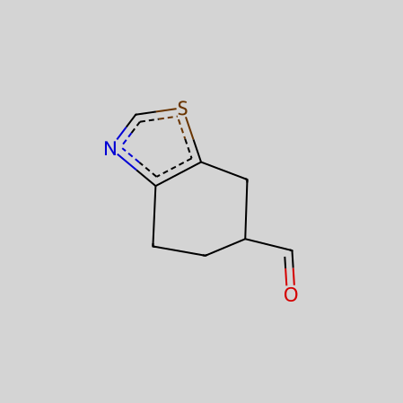 O=CC1CCc2ncsc2C1